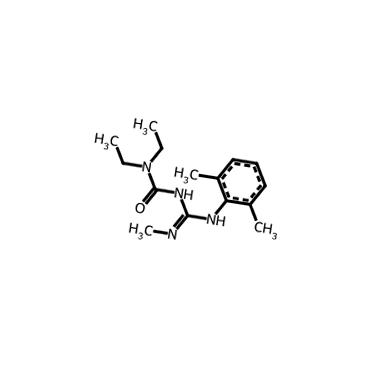 CCN(CC)C(=O)N/C(=N\C)Nc1c(C)cccc1C